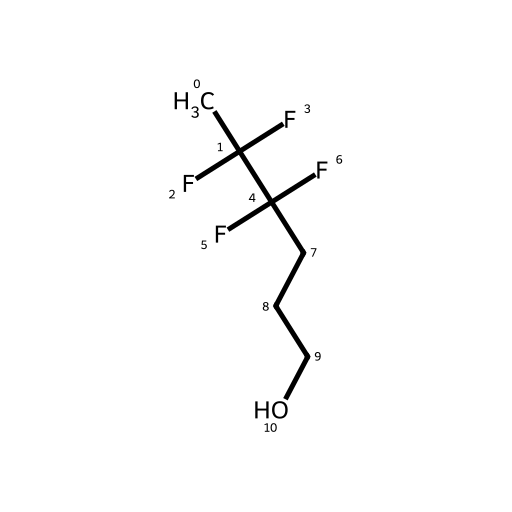 CC(F)(F)C(F)(F)CCCO